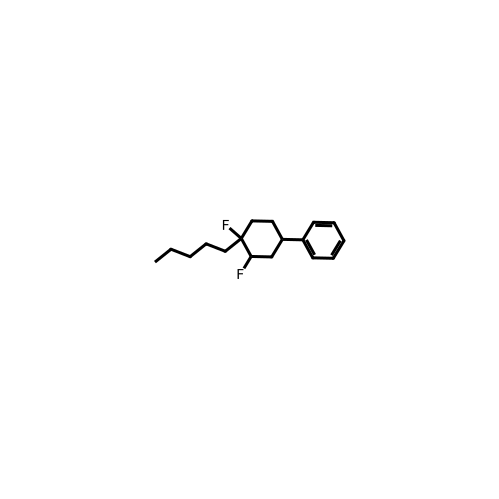 CCCCCC1(F)CCC(c2ccccc2)CC1F